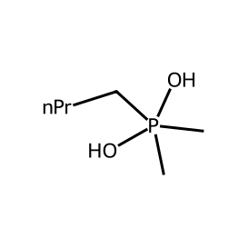 CCCCP(C)(C)(O)O